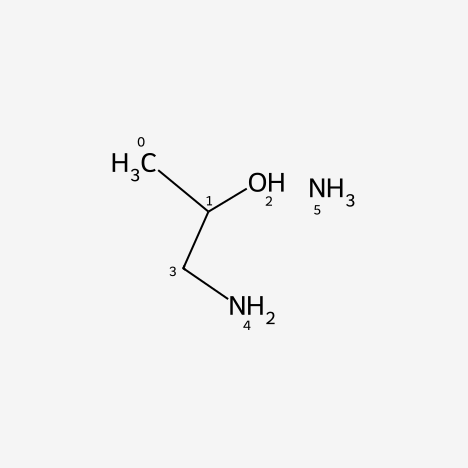 CC(O)CN.N